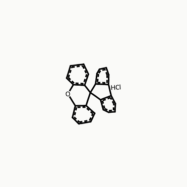 Cl.c1ccc2c(c1)Oc1ccccc1C21c2ccccc2-c2ccccc21